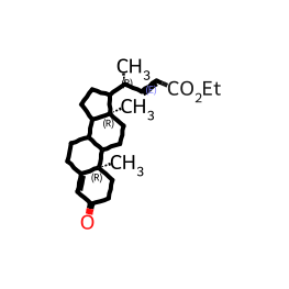 CCOC(=O)/C=C/[C@@H](C)C1CCC2C3CCC4=CC(=O)CC[C@]4(C)C3CC[C@@]21C